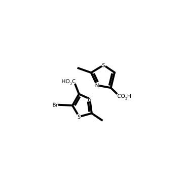 Cc1nc(C(=O)O)c(Br)s1.Cc1nc(C(=O)O)cs1